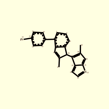 CC1=Cc2c(cccc2-c2ccc(C(C)C)cc2)[C]1C1=C(C)C=C2N=CC=C21